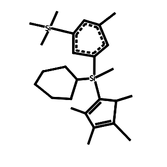 CC1=C(C)C(C)C([Si](C)(c2cc(C)cc([Si](C)(C)C)c2)C2CCCCC2)=C1C